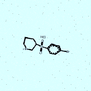 Cl.O=S(=O)(c1ccc(Br)cc1)C1CCCNC1